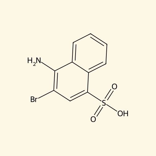 Nc1c(Br)cc(S(=O)(=O)O)c2ccccc12